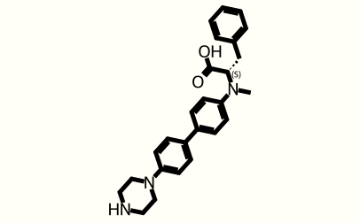 CN(c1ccc(-c2ccc(N3CCNCC3)cc2)cc1)[C@@H](Cc1ccccc1)C(=O)O